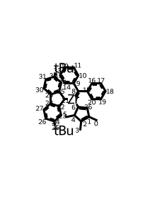 CC1=C(C)C(C)[C]([Zr](=[C](c2ccccc2)c2ccccc2)[CH]2c3cc(C(C)(C)C)ccc3-c3ccc(C(C)(C)C)cc32)=C1